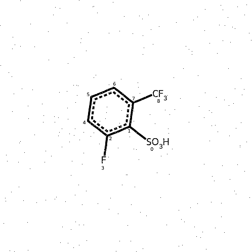 O=S(=O)(O)c1c(F)cccc1C(F)(F)F